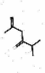 C=C(C)CC(=O)C(C)C